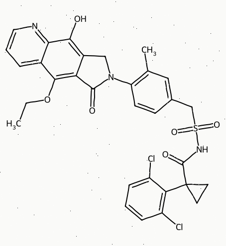 CCOc1c2c(c(O)c3ncccc13)CN(c1ccc(CS(=O)(=O)NC(=O)C3(c4c(Cl)cccc4Cl)CC3)cc1C)C2=O